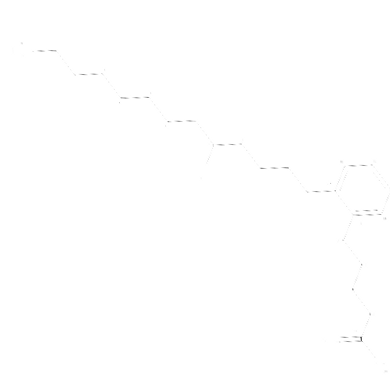 CCCCCCCCC(O)CCCCc1ccccc1CCCCC(=O)O